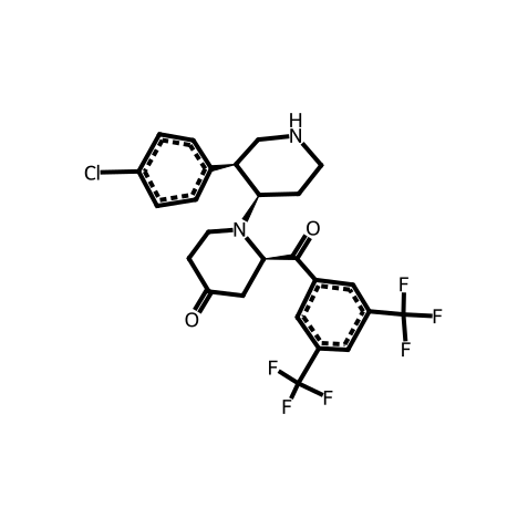 O=C1CCN([C@@H]2CCNC[C@@H]2c2ccc(Cl)cc2)[C@@H](C(=O)c2cc(C(F)(F)F)cc(C(F)(F)F)c2)C1